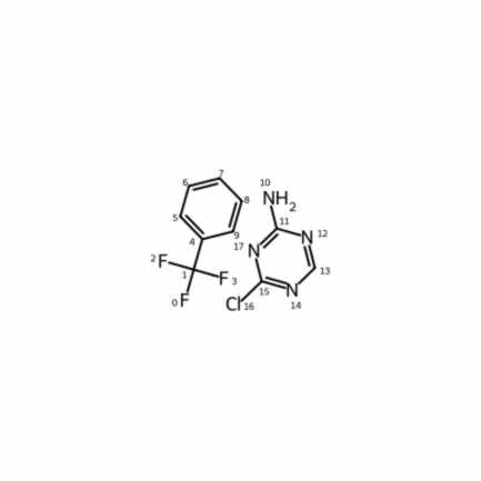 FC(F)(F)c1ccccc1.Nc1ncnc(Cl)n1